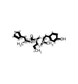 C=CCN(C[C@H](Cc1ccc(O)cc1)N(C)C)C(=O)N[C@H](C)Cc1ccsc1